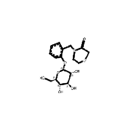 O=C1COCCN1Cc1ccccc1O[C@@H]1O[C@H](CO)[C@@H](O)[C@H](O)[C@H]1O